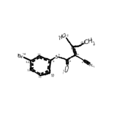 CC(O)=C(C#N)C(=O)Sc1cccc(Br)c1